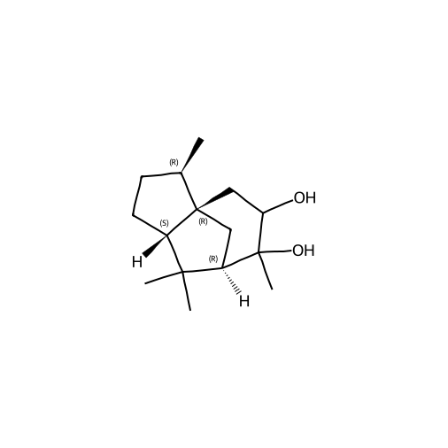 C[C@@H]1CC[C@H]2C(C)(C)[C@H]3C[C@@]12CC(O)C3(C)O